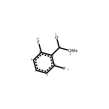 COC([O])c1c(F)cccc1F